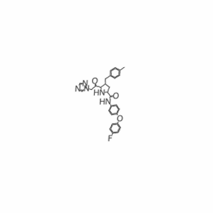 Cc1ccc(CC2CC(C(=O)Nc3ccc(Oc4ccc(F)cc4)cc3)NC2C(=O)Cn2cncn2)cc1